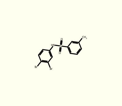 Cc1cccc(S(=O)(=O)Nc2ccc(Br)c(Br)c2)c1